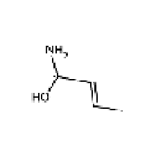 CC=C[C](N)O